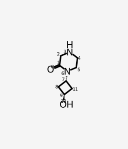 O=C1CNCCN1[C@H]1C[C@H](O)C1